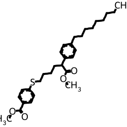 CCCCCCCCCc1ccc(C(CCCCSc2ccc(C(=O)OC)cc2)C(=O)OC)cc1